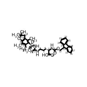 CN=C(NCCC[C@H](NC(=O)OCC1c2ccccc2-c2ccccc21)C(=O)O)NS(=O)(=O)c1c(C)c(C)c2c(c1C)CC(C)(C)O2